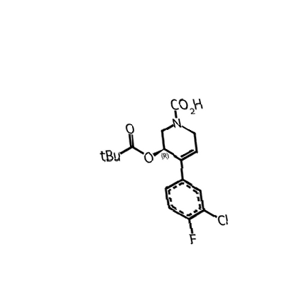 CC(C)(C)C(=O)O[C@H]1CN(C(=O)O)CC=C1c1ccc(F)c(Cl)c1